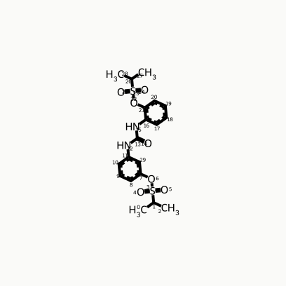 CC(C)S(=O)(=O)Oc1cccc(NC(=O)Nc2ccccc2OS(=O)(=O)C(C)C)c1